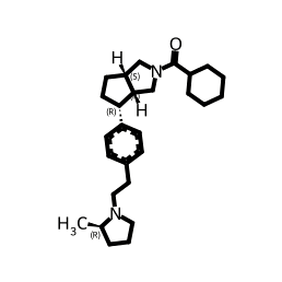 C[C@@H]1CCCN1CCc1ccc([C@@H]2CC[C@@H]3CN(C(=O)C4CCCCC4)C[C@@H]32)cc1